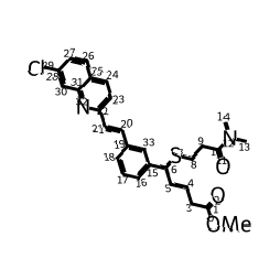 COC(=O)CCCC(SCCC(=O)N(C)C)c1cccc(/C=C/c2ccc3ccc(Cl)cc3n2)c1